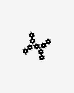 C1=C(N(c2ccc(-c3ccccc3)cc2)c2ccc(N(c3ccc(-c4ccccc4)cc3)c3ccc(-c4ccccc4)cc3)cc2)CCC(c2ccccc2)C1